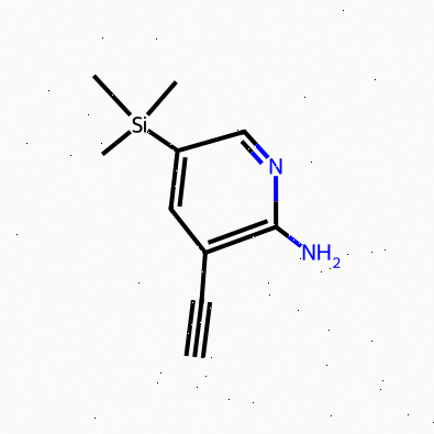 C#Cc1cc([Si](C)(C)C)cnc1N